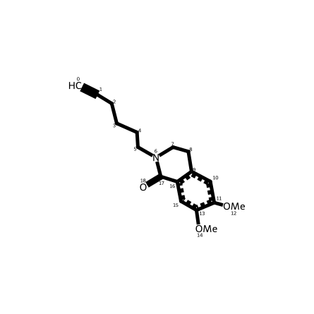 C#CCCCCN1CCc2cc(OC)c(OC)cc2C1=O